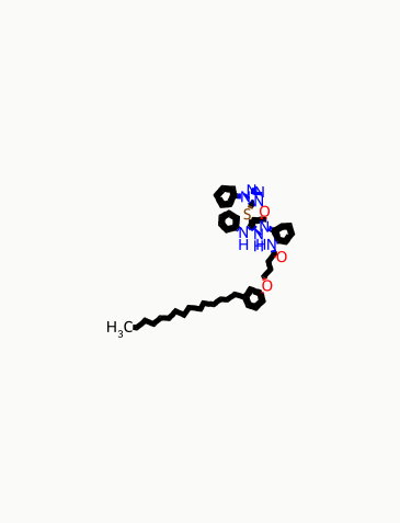 CCCCCCCCCCCCCCCc1cccc(OCCCC(=O)Nc2ccccc2-n2[nH]c(Nc3ccccc3)c(Sc3nnnn3-c3ccccc3)c2=O)c1